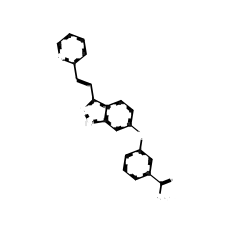 CNC(=O)c1cccc(Sc2ccc3c(C=Cc4ccccn4)n[nH]c3c2)c1